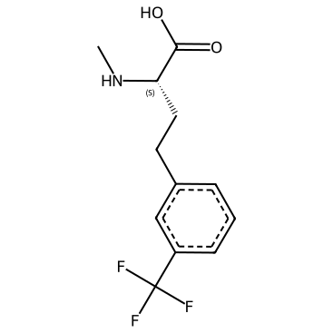 CN[C@@H](CCc1cccc(C(F)(F)F)c1)C(=O)O